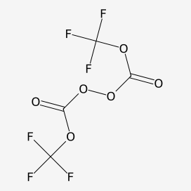 O=C(OOC(=O)OC(F)(F)F)OC(F)(F)F